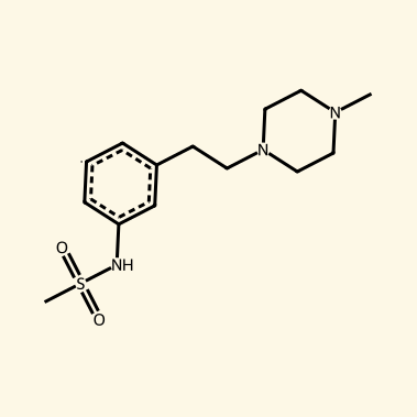 CN1CCN(CCc2c[c]cc(NS(C)(=O)=O)c2)CC1